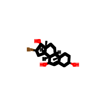 C[C@]12CC[C@H]3[C@@H]([C@H](O)C=C4C[C@@H](O)CC[C@@]43C)[C@@H]1C[C@@H](Br)[C@@H]2O